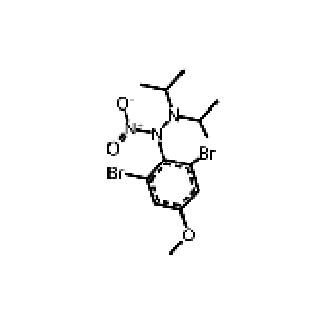 COc1cc(Br)c(N(N(C(C)C)C(C)C)[N+](=O)[O-])c(Br)c1